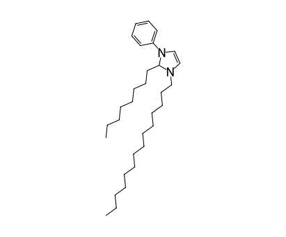 CCCCCCCCCCCCCCN1C=CN(c2ccccc2)C1CCCCCCCC